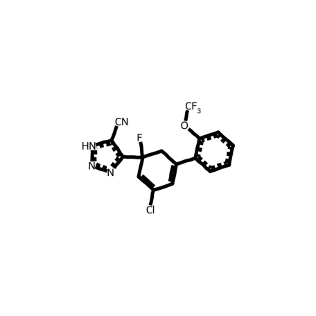 N#Cc1[nH]nnc1C1(F)C=C(Cl)C=C(c2ccccc2OC(F)(F)F)C1